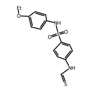 CCOc1ccc(NS(=O)(=O)c2ccc(NC=S)cc2)cc1